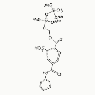 CO[Si](C)(OC)O[Si](OC)(OC)OCOC(=O)c1ccc(C(=O)Nc2ccccc2)cc1C(=O)O